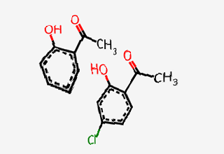 CC(=O)c1ccc(Cl)cc1O.CC(=O)c1ccccc1O